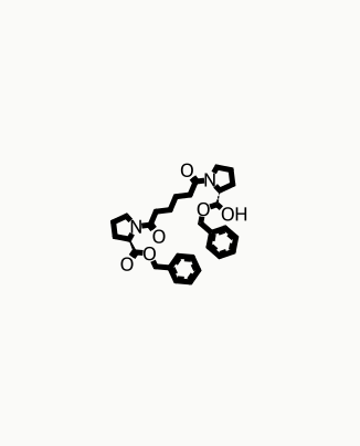 O=C(OCc1ccccc1)[C@H]1CCCN1C(=O)CCCCC(=O)N1CCC[C@@H]1C(O)OCc1ccccc1